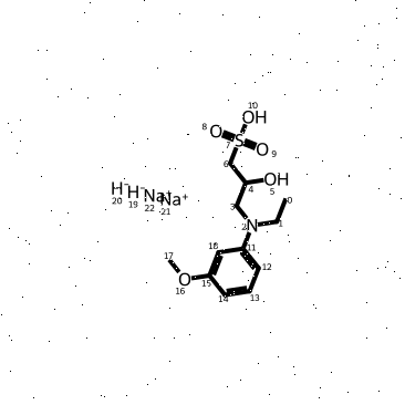 CCN(CC(O)CS(=O)(=O)O)c1cccc(OC)c1.[H-].[H-].[Na+].[Na+]